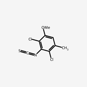 COc1cc(C)c(Cl)c(N=C=S)c1Cl